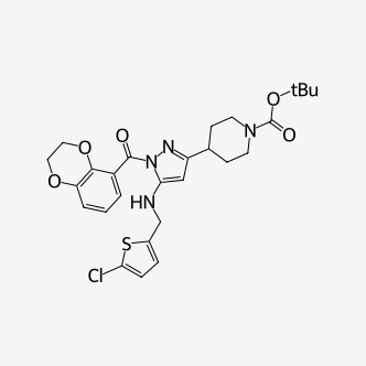 CC(C)(C)OC(=O)N1CCC(c2cc(NCc3ccc(Cl)s3)n(C(=O)c3cccc4c3OCCO4)n2)CC1